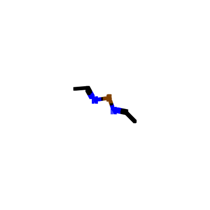 CC=NSN=CC